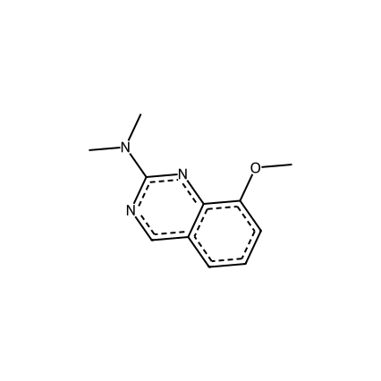 COc1cccc2cnc(N(C)C)nc12